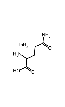 NC(=O)CCC(N)C(=O)O.[InH3]